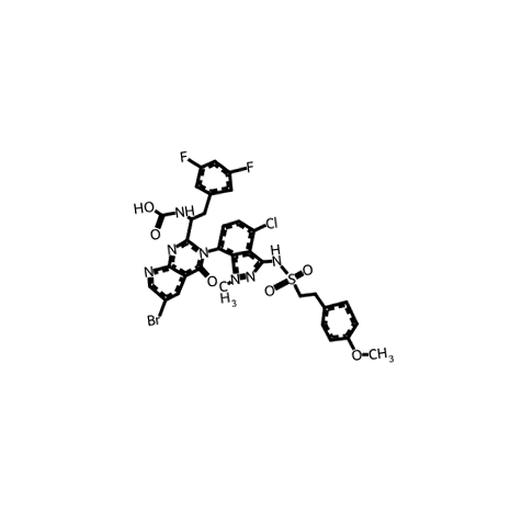 COc1ccc(CCS(=O)(=O)Nc2nn(C)c3c(-n4c(C(Cc5cc(F)cc(F)c5)NC(=O)O)nc5ncc(Br)cc5c4=O)ccc(Cl)c23)cc1